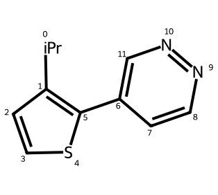 CC(C)c1ccsc1-c1ccnnc1